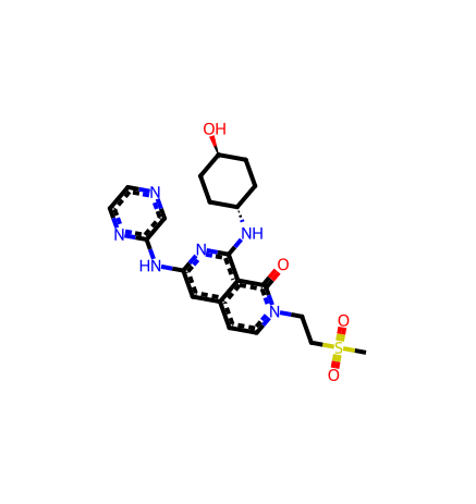 CS(=O)(=O)CCn1ccc2cc(Nc3cnccn3)nc(N[C@H]3CC[C@H](O)CC3)c2c1=O